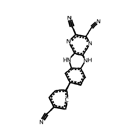 N#Cc1ccc(-c2ccc3c(c2)Nc2nc(C#N)c(C#N)nc2N3)cc1